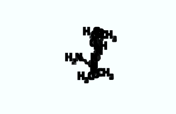 Cc1ccc(C(=O)NCc2cc3nc(-c4cc(CCCCN)cc(N5C[C@@H](C)O[C@@H](C)C5)n4)ccc3cn2)cc1S(C)(=O)=O